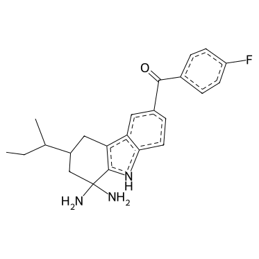 CCC(C)C1Cc2c([nH]c3ccc(C(=O)c4ccc(F)cc4)cc23)C(N)(N)C1